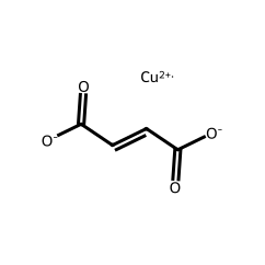 O=C([O-])C=CC(=O)[O-].[Cu+2]